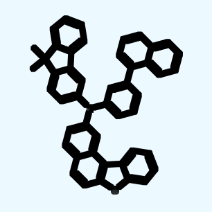 CC1(C)c2ccccc2-c2cc(N(c3cccc(-c4cccc5ccccc45)c3)c3ccc4ccc5oc6ccccc6c5c4c3)ccc21